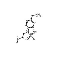 COCCN(c1ccc(CN)cn1)S(C)(=O)=O